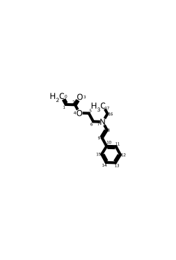 C=CC(=O)OCCN(C=Cc1ccccc1)CC